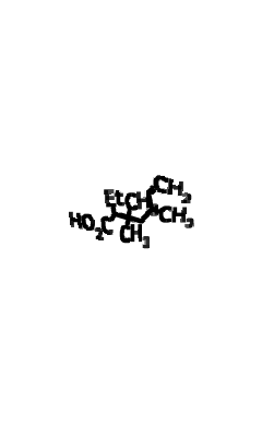 C=CC(C)CC(C)(C)C(CC)C(=O)O